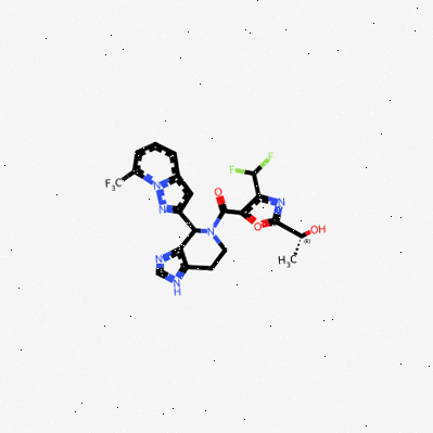 C[C@@H](O)c1nc(C(F)F)c(C(=O)N2CCc3[nH]cnc3C2c2cc3cccc(C(F)(F)F)n3n2)o1